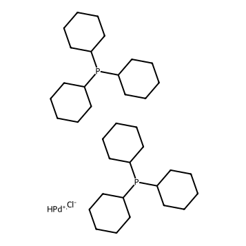 C1CCC(P(C2CCCCC2)C2CCCCC2)CC1.C1CCC(P(C2CCCCC2)C2CCCCC2)CC1.[Cl-].[PdH+]